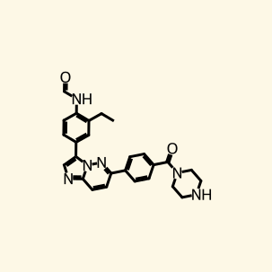 CCc1cc(-c2cnc3ccc(-c4ccc(C(=O)N5CCNCC5)cc4)nn23)ccc1NC=O